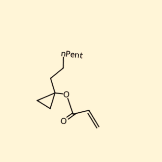 C=CC(=O)OC1(CCCCCCC)CC1